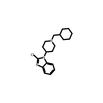 Clc1nc2ccccc2n1C1CCN(CC2CCCCC2)CC1